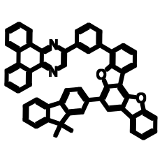 CC1(C)c2ccccc2-c2ccc(-c3cc4c5ccccc5oc4c4c3oc3c(-c5cccc(-c6cnc7c8ccccc8c8ccccc8c7n6)c5)cccc34)cc21